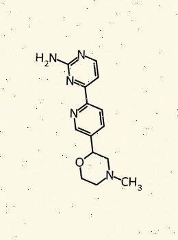 CN1CCOC(c2ccc(-c3ccnc(N)n3)nc2)C1